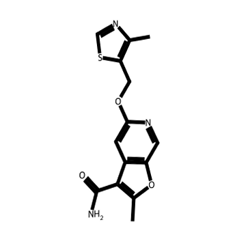 Cc1ncsc1COc1cc2c(C(N)=O)c(C)oc2cn1